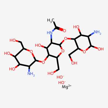 CC(=O)NC1C(OC2C(CO)OC(O)C(N)C2O)OC(CO)C(OC2OC(CO)C(O)C(O)C2N)C1O.[Mg+2].[OH-].[OH-]